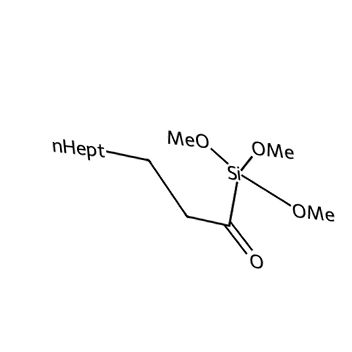 CCCCCCCCCC(=O)[Si](OC)(OC)OC